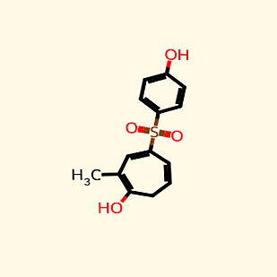 CC1=C(O)CC=CC(S(=O)(=O)c2ccc(O)cc2)=C1